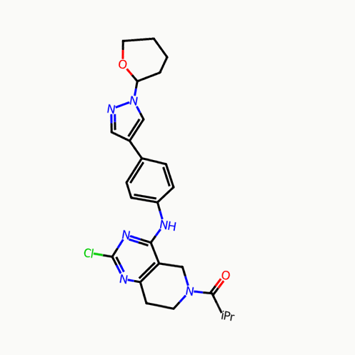 CC(C)C(=O)N1CCc2nc(Cl)nc(Nc3ccc(-c4cnn(C5CCCCO5)c4)cc3)c2C1